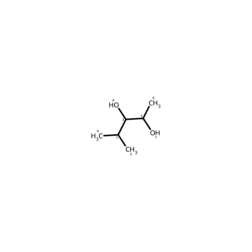 C[C](C)C(O)[C](C)O